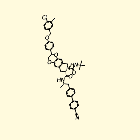 Cc1cc(COc2ccc(C3COc4cc5c(cc4O3)CN(C(=O)NC(C)(C)C)[C@H](C(=O)N[C@H](C)Cc3ccc(-c4ccc(C#N)cc4)cc3)C5)cc2)ccc1Cl